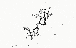 CC(O)(c1cc(Oc2cccc(C(C)(O)C(F)(F)F)c2N)ccc1N)C(F)(F)F